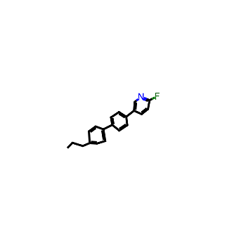 CCCc1ccc(-c2ccc(-c3ccc(F)nc3)cc2)cc1